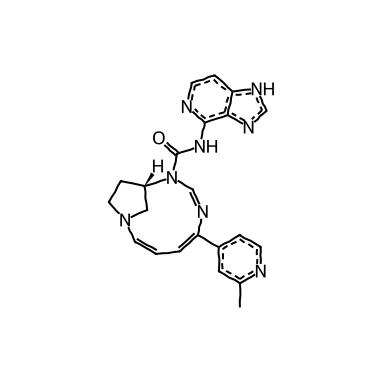 Cc1cc(C2=CC=CN3CC[C@@H](C3)N(C(=O)Nc3nccc4[nH]cnc34)C=N2)ccn1